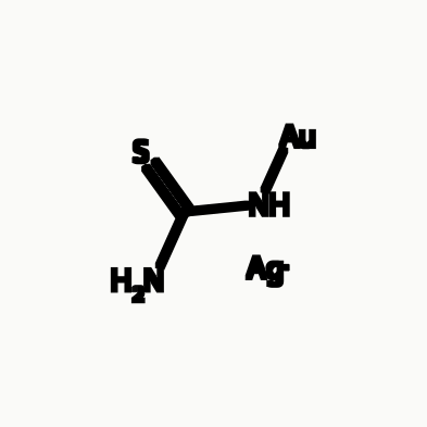 NC(=S)[NH][Au].[Ag]